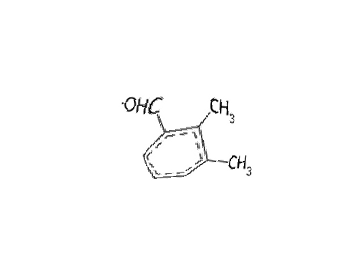 Cc1cccc([C]=O)c1C